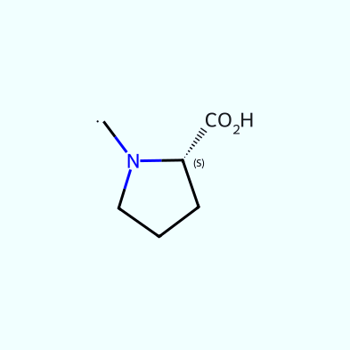 [CH2]N1CCC[C@H]1C(=O)O